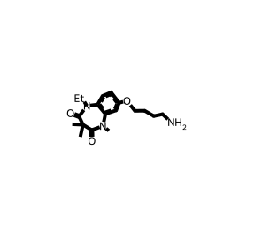 CCN1C(=O)C(C)(C)C(=O)N(C)c2cc(OCCCCN)ccc21